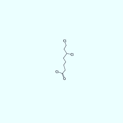 O=C(Cl)CCCCC(Cl)CCCl